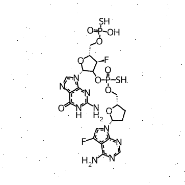 Nc1nc2c(ncn2[C@@H]2O[C@H](COP(=O)(O)S)[C@@H](F)C2OP(=O)(S)OC[C@@H]2CC[C@H](n3cc(F)c4c(N)ncnc43)O2)c(=O)[nH]1